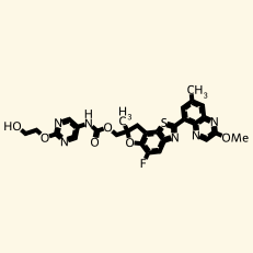 COc1cnc2c(-c3nc4cc(F)c5c(c4s3)CC(C)(COC(=O)Nc3cnc(OCCO)nc3)O5)cc(C)cc2n1